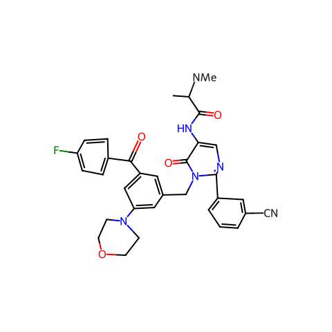 CNC(C)C(=O)Nc1cnc(-c2cccc(C#N)c2)n(Cc2cc(C(=O)c3ccc(F)cc3)cc(N3CCOCC3)c2)c1=O